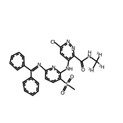 [2H]C([2H])([2H])NC(=O)c1nnc(Cl)cc1Nc1nc(N=C(c2ccccc2)c2ccccc2)ccc1S(C)(=O)=O